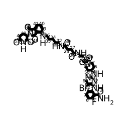 NC(=O)c1c(F)cccc1Nc1nc(NC2CCN(S(=O)(=O)CCNC(=O)CCC(=O)NCCCCCNc3cccc4c3C(=O)N(C3CCC(=O)NC3=O)C4=O)CC2)ncc1Br